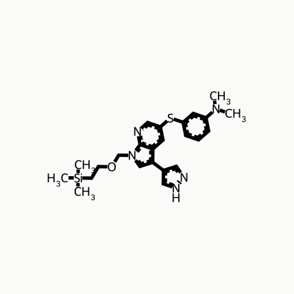 CN(C)c1cccc(Sc2cnc3c(c2)c(-c2cn[nH]c2)cn3COCC[Si](C)(C)C)c1